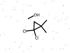 CC1(C)CC1(Cl)Cl.CO